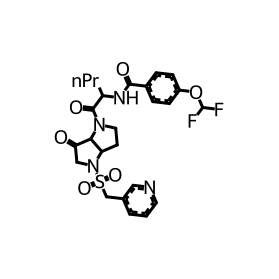 CCCC(NC(=O)c1ccc(OC(F)F)cc1)C(=O)N1CCC2C1C(=O)CN2S(=O)(=O)Cc1cccnc1